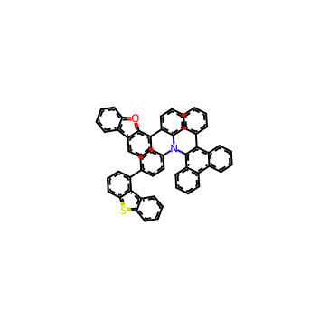 c1ccc(-c2c(N(c3ccc(-c4cccc5sc6ccccc6c45)cc3)c3ccccc3-c3cccc4c3oc3ccccc34)c3ccccc3c3ccccc23)cc1